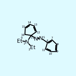 CCN(CC)C1(N=Nc2ccccc2)C=CC=CC1